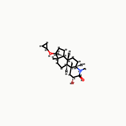 CN1C(=O)[C@H](Br)C[C@]2(C)[C@H]3CC[C@]4(C)[C@@H](OC5CC5)CC[C@H]4[C@@H]3CC[C@@H]12